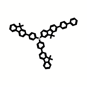 CC1(C)c2ccccc2-c2ccc(-c3ccc(N(c4ccc(-c5ccc6c(c5)C(C)(C)c5ccccc5-6)cc4)c4ccc5c(c4)C(C)(C)c4cc(-c6ccc(-c7ccccc7)cc6)ccc4-5)cc3)cc21